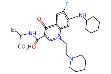 CCC(NC(=O)c1cn(CCN2CCCCC2)c2cc(NC3CCCCC3)c(F)cc2c1=O)C(=O)O